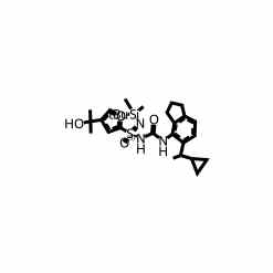 CC(c1ccc2c(c1NC(=O)N[S@](=O)(=N[Si](C)(C)C(C)(C)C)c1cc(C(C)(C)O)co1)CCC2)C1CC1